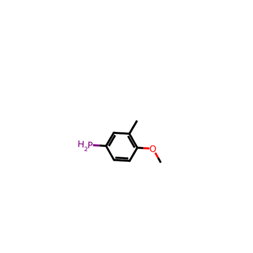 COc1ccc(P)cc1C